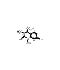 CN(C(=O)OC(C)(C)C)C(C(=O)O)c1ccc(F)cc1